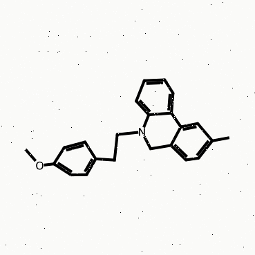 COc1ccc(CCN2Cc3ccc(C)cc3-c3ccccc32)cc1